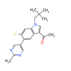 CC(=O)c1cn(CC(C)(C)C)c2cc(F)c(-c3cnc(C)nc3)cc12